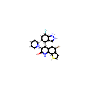 O=c1[nH]c2c(cc(Br)c3ccsc32)c(-c2ccc(F)c3[nH]ncc23)c1-[n+]1ccccc1